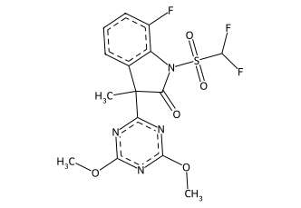 COc1nc(OC)nc(C2(C)C(=O)N(S(=O)(=O)C(F)F)c3c(F)cccc32)n1